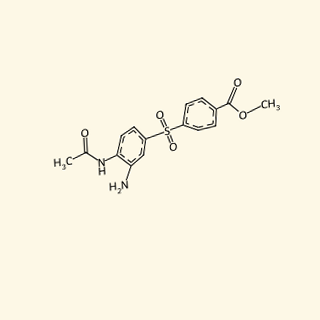 COC(=O)c1ccc(S(=O)(=O)c2ccc(NC(C)=O)c(N)c2)cc1